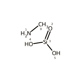 CN.O=[Si](O)O